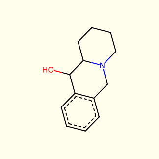 OC1c2ccccc2CN2CCCCC12